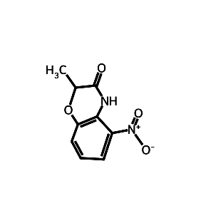 CC1Oc2cccc([N+](=O)[O-])c2NC1=O